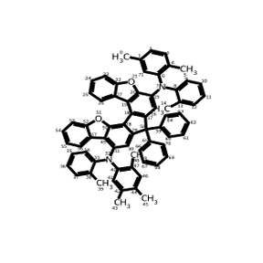 Cc1ccc(C)c(N(c2ccccc2C)c2cc3c(c4c2oc2ccccc24)-c2c(cc(N(c4ccccc4C)c4cc(C)c(C)cc4C)c4c2oc2ccccc24)C3(c2ccccc2)c2ccccc2)c1